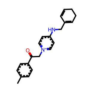 Cc1ccc(C(=O)C[n+]2ccc(NCC3=CCCC=C3)cc2)cc1